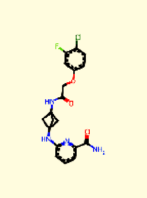 NC(=O)c1cccc(NC23CC(NC(=O)COc4ccc(Cl)c(F)c4)(C2)C3)n1